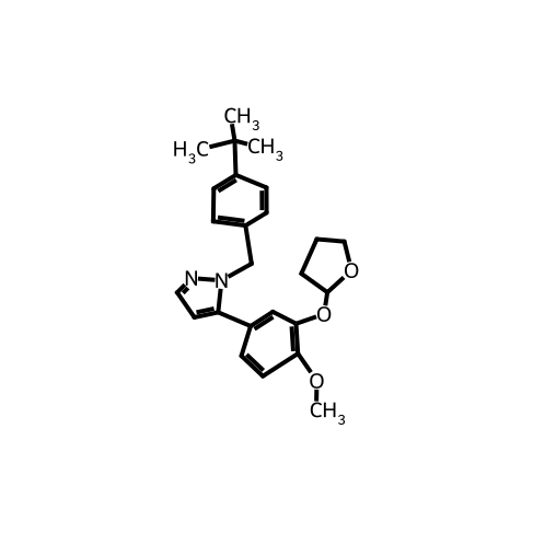 COc1ccc(-c2ccnn2Cc2ccc(C(C)(C)C)cc2)cc1OC1CCCO1